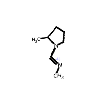 C/N=C/N1CCCC1C